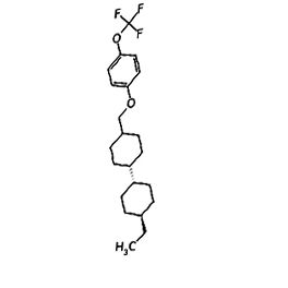 CC[C@H]1CC[C@H](C2CCC(COc3ccc(OC(F)(F)F)cc3)CC2)CC1